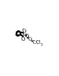 O=C1c2ccccc2C(=O)N1OCOCC(Cl)(Cl)Cl